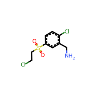 NCc1cc(S(=O)(=O)CCCl)ccc1Cl